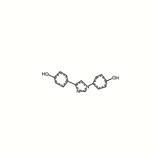 Oc1ccc(-c2cn(-c3ccc(O)cc3)cn2)cc1